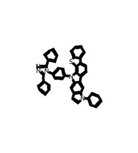 c1ccc(-c2nnc(-c3ccccc3)n2-c2ccc(-n3c4cc5ccn(-c6ccccc6)c5cc4c4ccc5c6ccccc6sc5c43)cc2)cc1